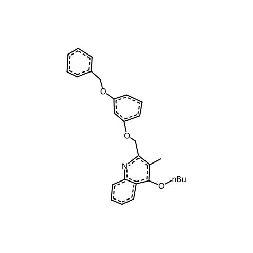 CCCCOc1c(C)c(COc2cccc(OCc3ccccc3)c2)nc2ccccc12